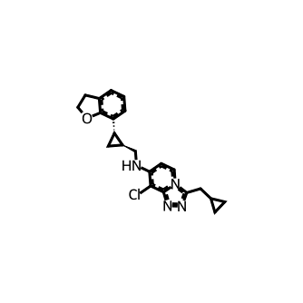 Clc1c(NC[C@H]2C[C@@H]2c2cccc3c2OCC3)ccn2c(CC3CC3)nnc12